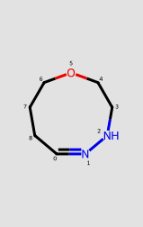 C1=NNCCOCCC1